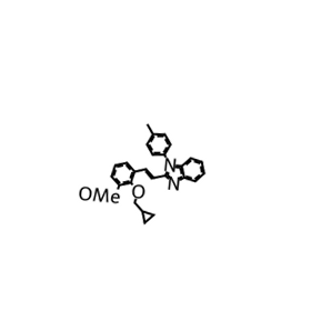 COc1cccc(C=Cc2nc3ccccc3n2-c2ccc(C)cc2)c1OCC1CC1